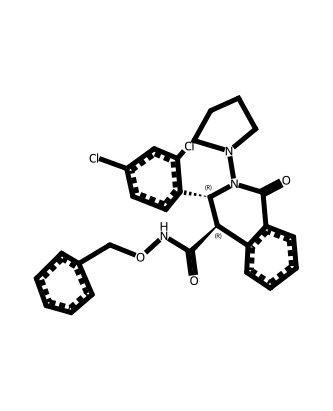 O=C(NOCc1ccccc1)[C@@H]1c2ccccc2C(=O)N(N2CCCC2)[C@H]1c1ccc(Cl)cc1Cl